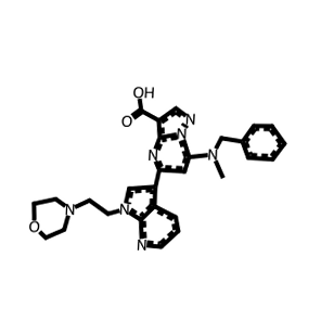 CN(Cc1ccccc1)c1cc(-c2cn(CCN3CCOCC3)c3ncccc23)nc2c(C(=O)O)cnn12